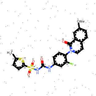 COc1ccc2ccn(-c3ccc(NC(=O)NS(=O)(=O)c4ccc(C)s4)cc3F)c(=O)c2c1